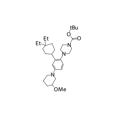 CCC1(CC)CCC(c2cc(N3CCCC(OC)C3)ccc2N2CCN(C(=O)OC(C)(C)C)CC2)CC1